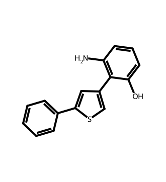 Nc1cccc(O)c1-c1csc(-c2ccccc2)c1